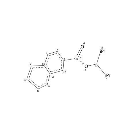 CC(C)C(O[S@@](=O)c1ccc2ccccc2c1)C(C)C